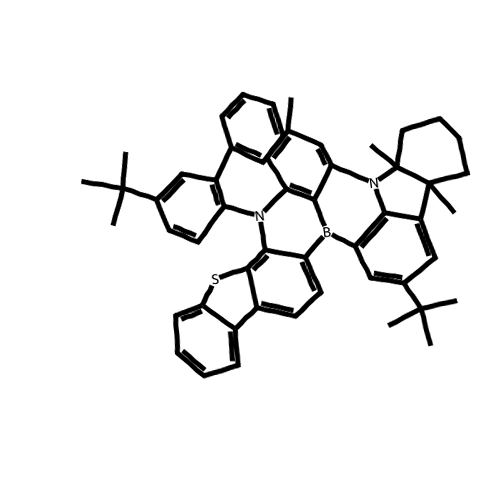 Cc1cc2c3c(c1)N1c4c(cc(C(C)(C)C)cc4C4(C)CCCCC14C)B3c1ccc3c(sc4ccccc43)c1N2c1ccc(C(C)(C)C)cc1-c1ccccc1